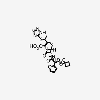 CC(Sc1nnn[nH]1)C1=C(C(=O)O)N2C(=O)[C@@H](NC(=O)C(=NOC3(C(=O)O)CCC3)c3ccco3)[C@H]2SC1